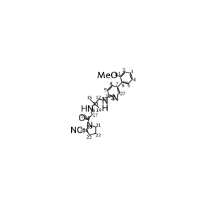 COc1ccccc1-c1ccc(NCC(C)(C)NCC(=O)N2CCC[C@H]2C#N)nc1